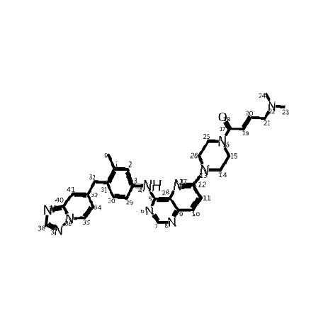 Cc1cc(Nc2ncnc3ccc(N4CCN(C(=O)/C=C/CN(C)C)CC4)nc23)ccc1Cc1ccn2ncnc2c1